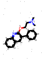 CN(C)CCOc1nc2ccccc2cc1-c1ccccc1